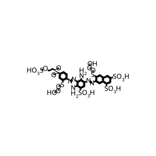 Nc1c(/N=N/c2cc3c(S(=O)(=O)O)cc(S(=O)(=O)O)cc3cc2SOOO)cc(S(=O)(=O)O)c(N)c1/N=N/c1ccc(S(=O)(=O)CCOS(=O)(=O)O)cc1SOOO